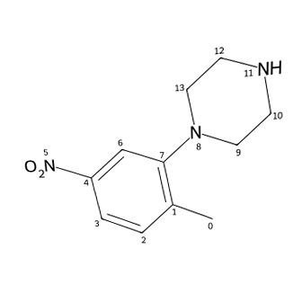 Cc1ccc([N+](=O)[O-])cc1N1CCNCC1